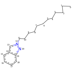 CCCCCCCCCCCCn1cc2ccccc2n1